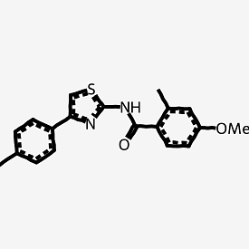 COc1ccc(C(=O)Nc2nc(-c3ccc(C)cc3)cs2)c(C)c1